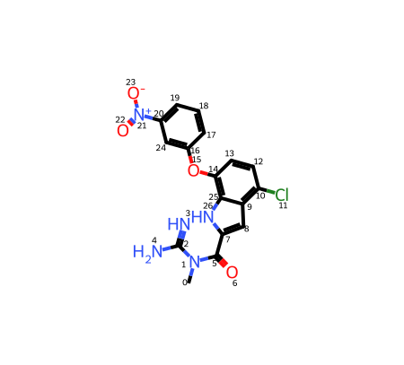 CN(C(=N)N)C(=O)c1cc2c(Cl)ccc(Oc3cccc([N+](=O)[O-])c3)c2[nH]1